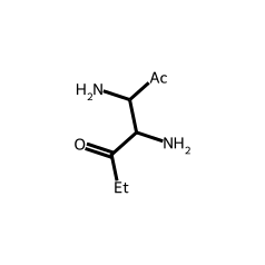 CCC(=O)C(N)C(N)C(C)=O